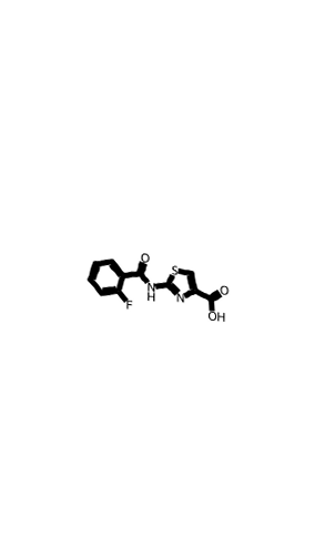 O=C(O)c1csc(NC(=O)c2ccccc2F)n1